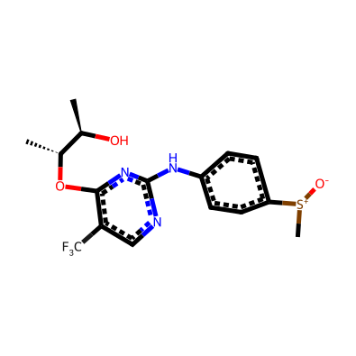 C[C@@H](O)[C@@H](C)Oc1nc(Nc2ccc([S+](C)[O-])cc2)ncc1C(F)(F)F